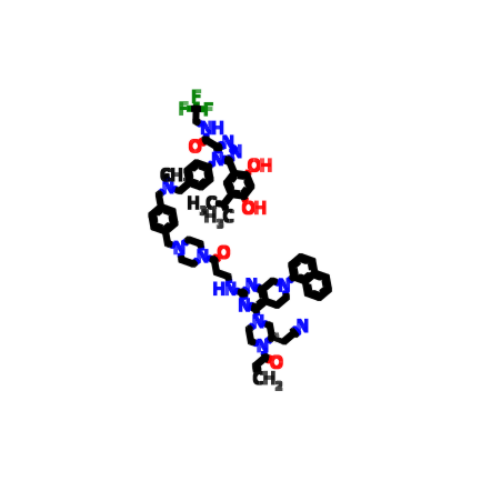 C=CC(=O)N1CCN(c2nc(NCCC(=O)N3CCN(Cc4ccc(CN(C)Cc5ccc(-n6c(C(=O)NCC(F)(F)F)nnc6-c6cc(C(C)C)c(O)cc6O)cc5)cc4)CC3)nc3c2CCN(c2cccc4ccccc24)C3)C[C@H]1CC#N